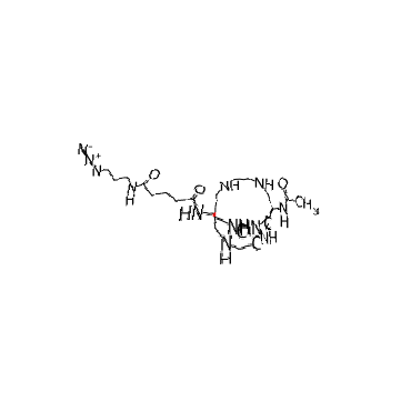 CC(=O)NC12CNCCNCC(NC(=O)CCCC(=O)NCCCN=[N+]=[N-])(CNCCNC1)CNCCNC2